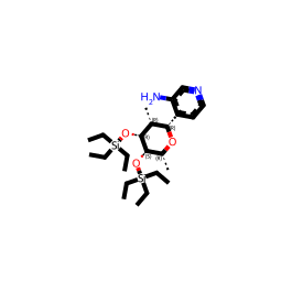 CC[Si](CC)(CC)O[C@@H]1[C@H](C)[C@H](c2ccncc2N)O[C@H](C)[C@@H]1O[Si](CC)(CC)CC